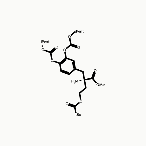 CCCC(C)OC(=O)Oc1cc(C[C@](N)(CCOC(=O)C(C)(C)C)C(=O)OC)ccc1OC(=O)O[C@@H](C)CCC